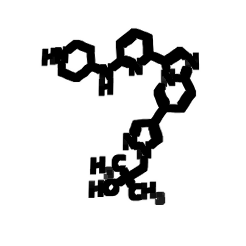 CC(C)(O)Cn1cc(-c2ccc3ncc(-c4cccc(NC5CCNCC5)n4)n3c2)cn1